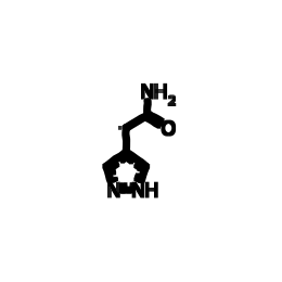 NC(=O)[CH]c1cn[nH]c1